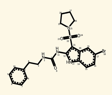 O=C(NCCc1ccccc1)Nc1[nH]c2ccc(Br)cc2c1S(=O)(=O)N1CCCC1